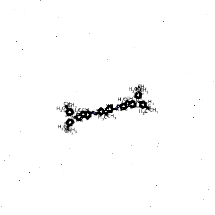 CC(C)(C)c1ccc(N(c2ccc([Si](C)(C)C)cc2)c2ccc3c(c2)C(C)(C)c2cc(/C=C/c4ccc5c(c4)C(C)(C)c4cc(/C=C/c6ccc7c(c6)C(C)(C)c6cc(N(c8ccc(C(C)(C)C)cc8)c8ccc([Si](C)(C)C)cc8)ccc6-7)ccc4-5)ccc2-3)cc1